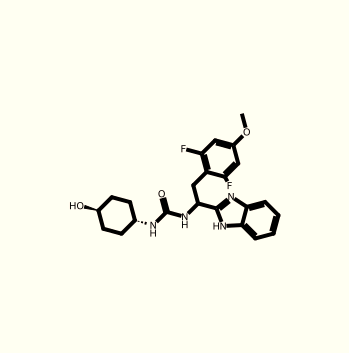 COc1cc(F)c(CC(NC(=O)N[C@H]2CC[C@H](O)CC2)c2nc3ccccc3[nH]2)c(F)c1